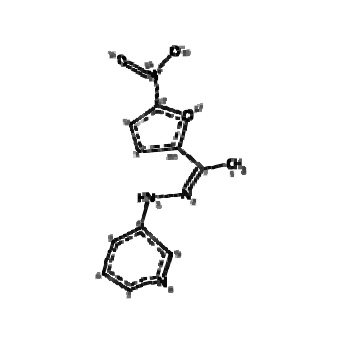 CC(=NNc1cccnc1)c1ccc([N+](=O)[O-])o1